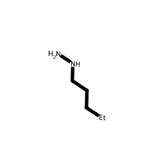 CCCCCNN